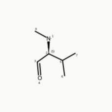 C[N][C@H](C=O)C(C)C